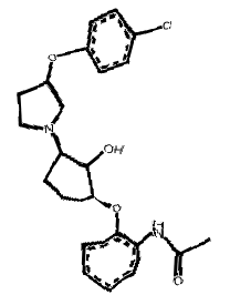 CC(=O)Nc1ccccc1O[C@H]1CCC(N2CCC(Oc3ccc(Cl)cc3)C2)C1O